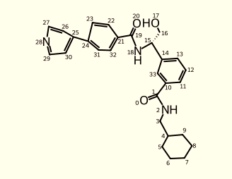 O=C(NCC1CCCCC1)c1cccc([C@@H](CO)NC(=O)c2ccc(-c3ccncc3)cc2)c1